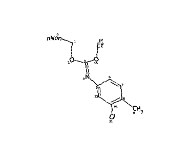 CCCCCCCCCCOC(=Nc1ccc(C)c(Cl)c1)OCC